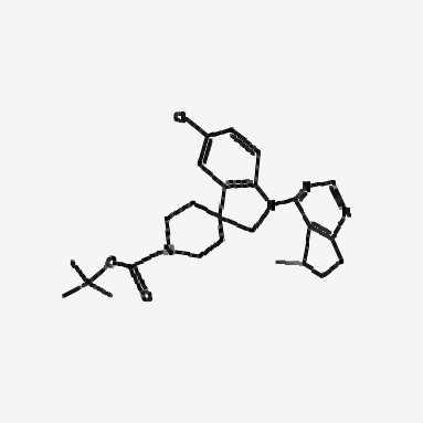 CC1CCc2ncnc(N3CC4(CCN(C(=O)OC(C)(C)C)CC4)c4cc(Cl)ccc43)c21